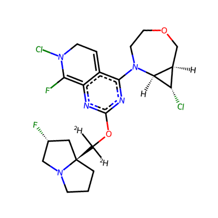 [2H]C([2H])(Oc1nc(N2CCOC[C@H]3[C@H](Cl)[C@H]32)c2c(n1)=C(F)N(Cl)CC=2)[C@@]12CCCN1C[C@H](F)C2